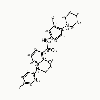 Cc1ccc(N2CCOc3c(C(=O)Nc4ccc(N5CCCCC5)c(F)c4)cccc32)nc1